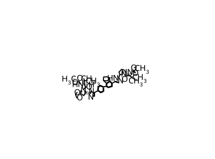 COC(=O)N[C@H](C(=O)N1CCCC1c1ncc(-c2ccc(-c3ccc(-c4cnc([C@@H]5CC6(CN5C(=O)[C@@H](NC(=O)OC)C(C)C)OCCO6)[nH]4)cc3)c3c2C2CCC3CC2)[nH]1)C(C)C